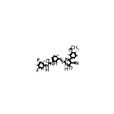 COc1cccc(-c2nc(SCc3cccc(NC(=O)Nc4cc(F)cc(F)c4)c3)[nH]c(=O)c2C#N)c1